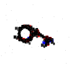 CO[C@H]1C[C@@H]2CC[C@@H](C)[C@@](O)(O2)C(=O)C(=O)N2CCCC[C@H]2C(=O)O[C@H]([C@@H](C)C[C@@H]2CC[C@@H](OC(=O)CCCCCOC(=O)c3c(I)c(NC(C)=O)c(I)c(NC(C)=O)c3I)[C@H](OC)C2)CC(=O)[C@H](C)/C=C(\C)[C@@H](O)[C@@H](C)C(=O)[C@H](C)C[C@H](C)/C=C/C=C/C=C/1C